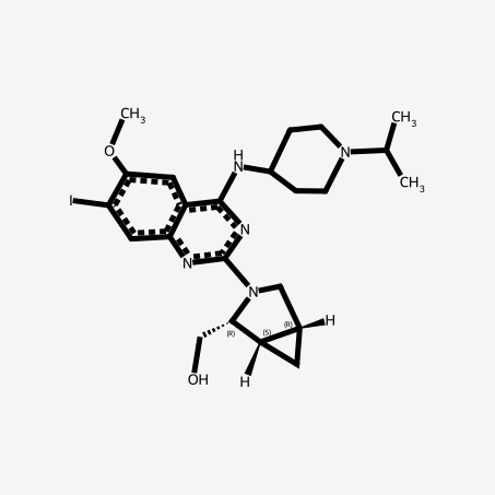 COc1cc2c(NC3CCN(C(C)C)CC3)nc(N3C[C@@H]4C[C@@H]4[C@@H]3CO)nc2cc1I